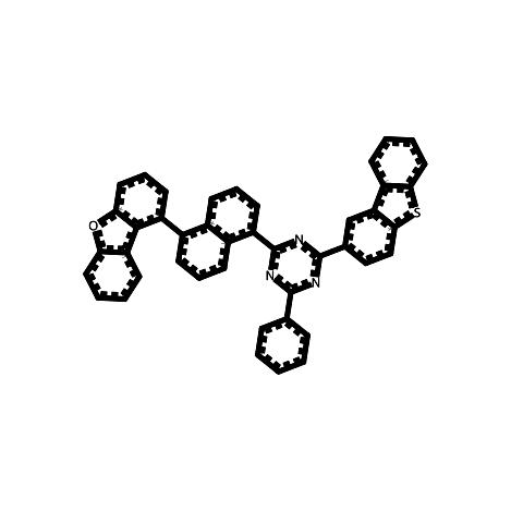 c1ccc(-c2nc(-c3ccc4sc5ccccc5c4c3)nc(-c3cccc4c(-c5cccc6oc7ccccc7c56)cccc34)n2)cc1